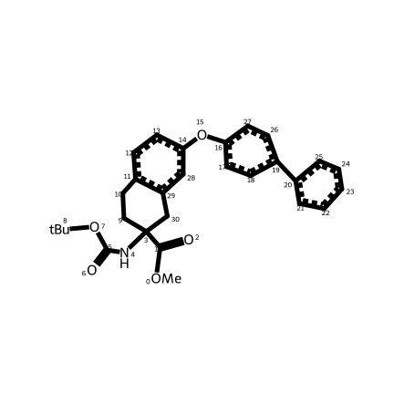 COC(=O)C1(NC(=O)OC(C)(C)C)CCc2ccc(Oc3ccc(-c4ccccc4)cc3)cc2C1